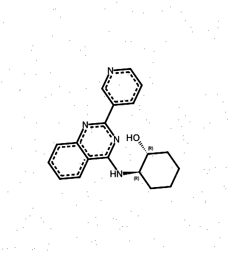 O[C@@H]1CCCC[C@H]1Nc1nc(-c2cccnc2)nc2ccccc12